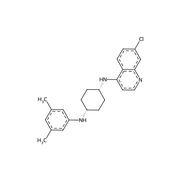 Cc1cc(C)cc(N[C@H]2CC[C@@H](Nc3ccnc4cc(Cl)ccc34)CC2)c1